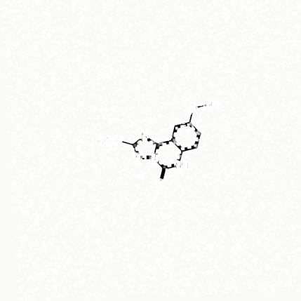 CCCOc1ccc2[nH]c(=O)n3nc(C(=O)O)nc3c2c1